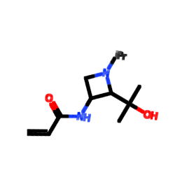 C=CC(=O)NC1CN(C(C)C)C1C(C)(C)O